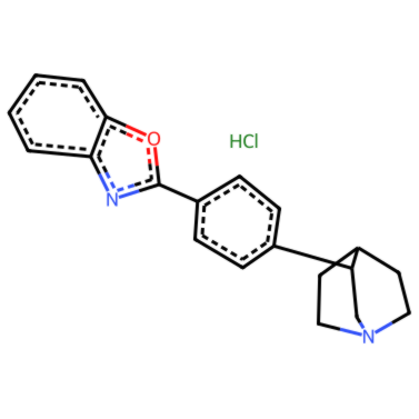 Cl.c1ccc2oc(-c3ccc(C4CN5CCC4CC5)cc3)nc2c1